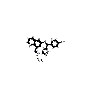 CO/N=C/c1cc(OC(c2ccc(F)cn2)c2nnco2)cc2cccnc12